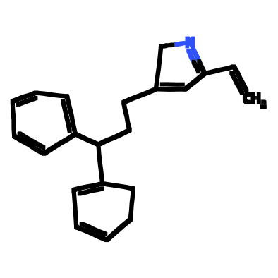 C=CC1=NCC(CCC(C2=CC=CCC2)c2ccccc2)=C1